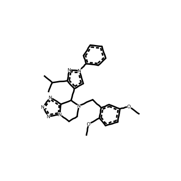 COc1ccc(OC)c(CN2CCn3nnnc3C2c2cn(-c3ccccc3)nc2C(C)C)c1